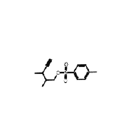 C#CC(C)C(C)COS(=O)(=O)c1ccc(C)cc1